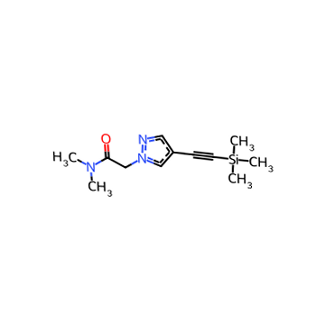 CN(C)C(=O)Cn1cc(C#C[Si](C)(C)C)cn1